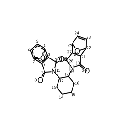 O=C1c2c(c3ccc2o3)C(=O)N1C1CCCCC1N1C(=O)C2C3C=CC(O3)C2C1=O